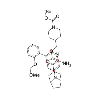 COCOc1ccccc1-c1cc(N2CC3CCC(C2)N3c2ccc(OCC3CCN(C(=O)OC(C)(C)C)CC3)nc2)c(N)nn1